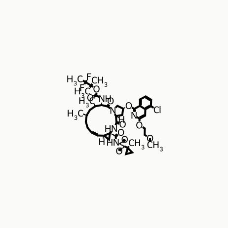 COCCOc1cc2c(Cl)cccc2c(O[C@@H]2C[C@H]3C(=O)N[C@]4(C(=O)NS(=O)(=O)C5(C)CC5)C[C@H]4/C=C\CC[C@@H](C)C[C@@H](C)[C@H](NC(=O)OC(C)(C)C(C)(F)F)C(=O)N3C2)n1